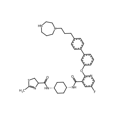 CC1=NC(C(=O)N[C@H]2CC[C@@H](NC(=O)c3cc(F)cnc3Oc3cccc(-c4ccc(CCCN5CCCNCC5)cc4)c3)CC2)CS1